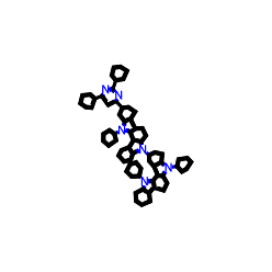 c1ccc(-c2cc(-c3ccc4c5ccc6c(c7ccccc7n6-c6ccc7c(c6)c6c(ccc8c9ccccc9n(-c9ccccc9)c86)n7-c6ccccc6)c5n(-c5ccccc5)c4c3)nc(-c3ccccc3)n2)cc1